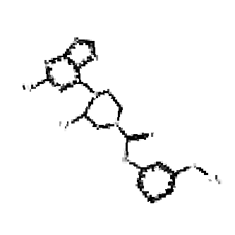 COc1cccc(NC(=O)N2CCN(c3nc(N)nc4scnc34)C(C)C2)c1